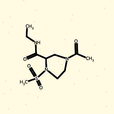 CCNC(=O)C1CN(C(C)=O)CCN1S(C)(=O)=O